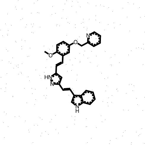 COc1ccc(OCc2ccccn2)cc1C=Cc1cc(C=Cc2c[nH]c3ccccc23)n[nH]1